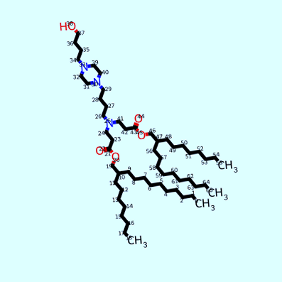 CCCCCCCCCCC(CCCCCCCC)COC(=O)CCN(CCCCN1CCN(CCCCO)CC1)CCC(=O)OCC(CCCCCCCC)CCCCCCCCCC